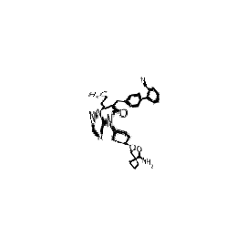 CCCc1c(Cc2ccc(-c3ccccc3C#N)cc2)c(=O)n(C2CCC(OCC3(C(N)=O)CCC3)CC2)c2ncnn12